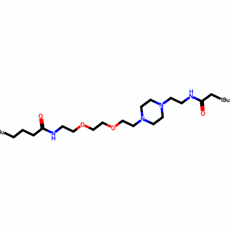 CC(C)(C)CCCC(=O)NCCOCCOCCN1CCN(CCNC(=O)CC(C)(C)C)CC1